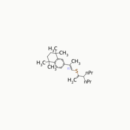 C=C(S/C=C(\C)c1ccc2c(c1)C(C)(C)CCC2(C)C)C(CCC)CCC